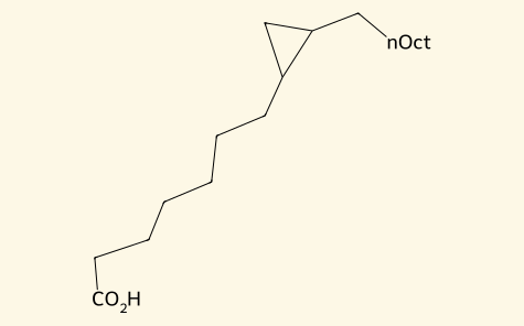 CCCCCCCCCC1CC1CCCCCCC(=O)O